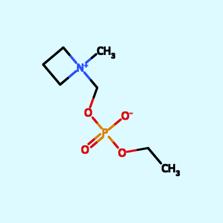 CCOP(=O)([O-])OC[N+]1(C)CCC1